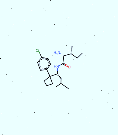 CC[C@@H](C)[C@@H](N)C(=O)N[C@@H](CC(C)C)C1(c2ccc(Cl)cc2)CCC1